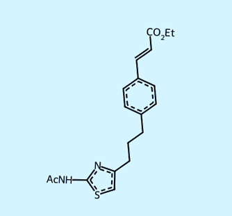 CCOC(=O)/C=C/c1ccc(CCCc2csc(NC(C)=O)n2)cc1